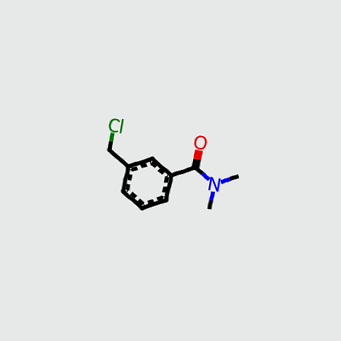 CN(C)C(=O)c1cccc(CCl)c1